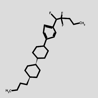 CCCC[C@H]1CC[C@H](C2CCC(c3ccc(C(F)C(F)(F)CCC)cc3)CC2)CC1